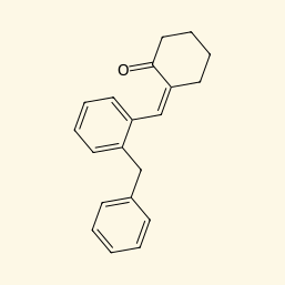 O=C1CCCCC1=Cc1ccccc1Cc1ccccc1